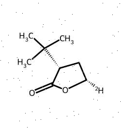 [2H][C@H]1C[C@@H](C(C)(C)C)C(=O)O1